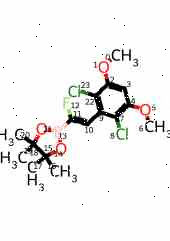 COc1cc(OC)c(Cl)c(/C=C(\F)B2OC(C)(C)C(C)(C)O2)c1Cl